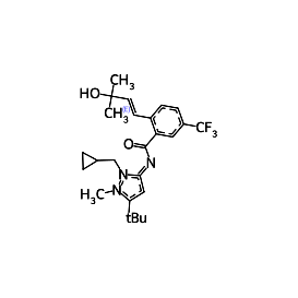 Cn1c(C(C)(C)C)cc(=NC(=O)c2cc(C(F)(F)F)ccc2/C=C/C(C)(C)O)n1CC1CC1